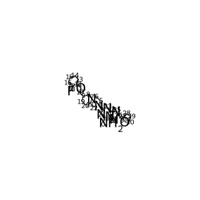 Nc1nc(N2CCN3CC(COc4ccccc4F)CCC3C2)nc2nc(-c3ccco3)nn12